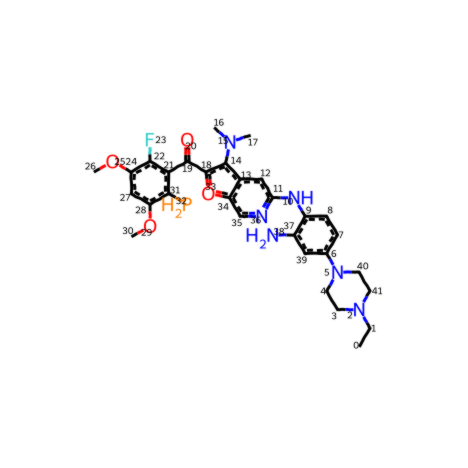 CCN1CCN(c2ccc(Nc3cc4c(N(C)C)c(C(=O)c5c(F)c(OC)cc(OC)c5P)oc4cn3)c(N)c2)CC1